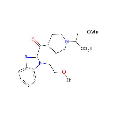 CCOCCn1c(C(=O)C2CCN(C(COC)C(=O)O)CC2)nc2ccccc21